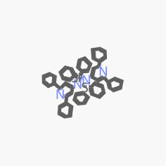 c1ccc(-c2cc(N3[Si](c4ccccc4)(c4ccccc4)N(c4cc(-c5ccccc5)nc(-c5ccccc5)c4)[Si]3(c3ccccc3)c3ccccc3)cc(-c3ccccc3)n2)cc1